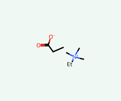 CCC(=O)[O-].CC[N+](C)(C)C